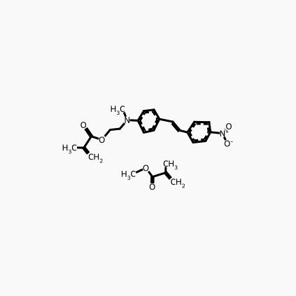 C=C(C)C(=O)OC.C=C(C)C(=O)OCCN(C)c1ccc(C=Cc2ccc([N+](=O)[O-])cc2)cc1